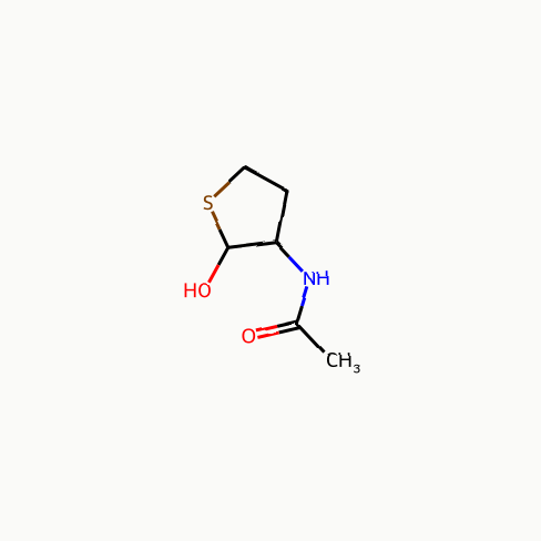 CC(=O)NC1CCSC1O